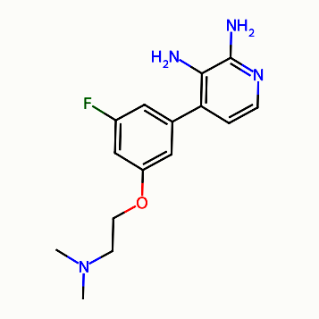 CN(C)CCOc1cc(F)cc(-c2ccnc(N)c2N)c1